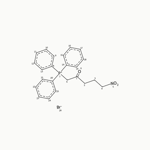 O=C(CCC[N+](=O)[O-])C[P+](c1ccccc1)(c1ccccc1)c1ccccc1.[Br-]